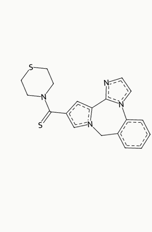 S=C(c1cc2n(c1)Cc1ccccc1-n1ccnc1-2)N1CCSCC1